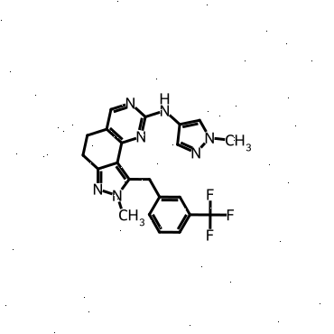 Cn1cc(Nc2ncc3c(n2)-c2c(nn(C)c2Cc2cccc(C(F)(F)F)c2)CC3)cn1